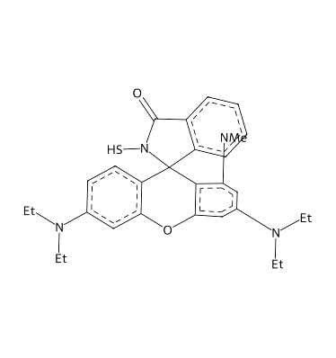 CCN(CC)c1ccc2c(c1)Oc1cc(N(CC)CC)cc(NC)c1C21c2ccccc2C(=O)N1S